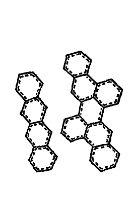 c1ccc2c(c1)cc1c3cccc4c5ccccc5cc(c5cccc2c51)c43.c1ccc2cc3cc4ccccc4cc3cc2c1